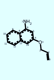 C=CCOc1cc(N)c2ccccc2c1